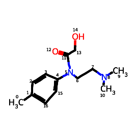 Cc1ccc(N(CCN(C)C)C(=O)CO)cc1